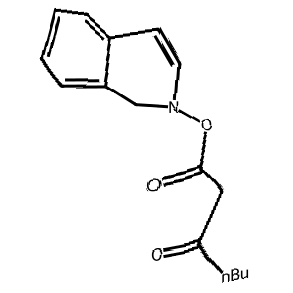 CCCCC(=O)CC(=O)ON1C=Cc2ccccc2C1